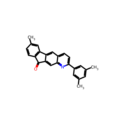 Cc1cc(C)cc(-c2ccc3cc4c(cc3n2)C(=O)c2ccc(C)cc2-4)c1